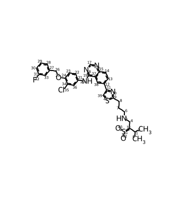 CC(C)C(CNCCCc1nc(-c2ccc3ncnc(Nc4ccc(OCc5cccc(F)c5)c(Cl)c4)c3c2)cs1)=S(=O)=O